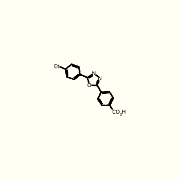 CCc1ccc(-c2nnc(-c3ccc(C(=O)O)cc3)o2)cc1